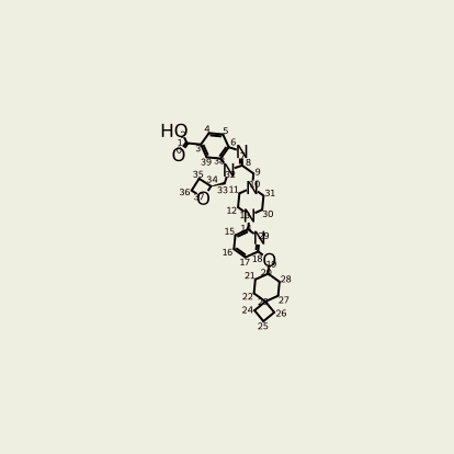 O=C(O)c1ccc2nc(CN3CCN(c4cccc(OC5CCC6(CCC6)CC5)n4)CC3)n(C[C@@H]3CCO3)c2c1